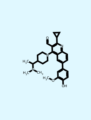 COc1cc(-c2ccc3nc(C4CC4)c(C=O)c(N4CCC(C(C)N(C)C)CC4)c3c2)ccc1O